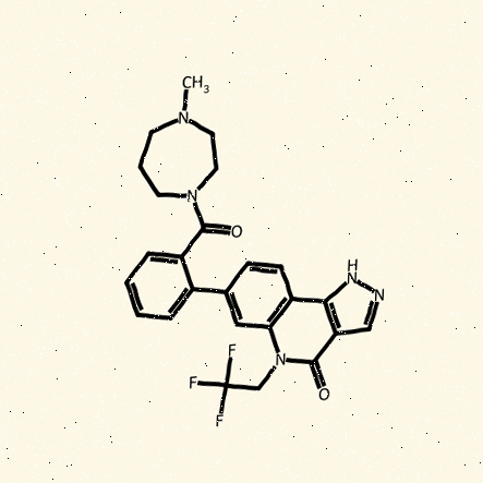 CN1CCCN(C(=O)c2ccccc2-c2ccc3c4[nH]ncc4c(=O)n(CC(F)(F)F)c3c2)CC1